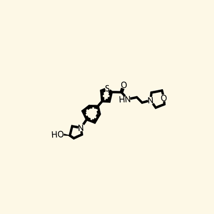 O=C(NCCN1CCOCC1)c1cc(-c2ccc(N3CC[C@@H](O)C3)cc2)cs1